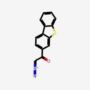 [N-]=[N+]=CC(=O)c1ccc2c(c1)sc1ccccc12